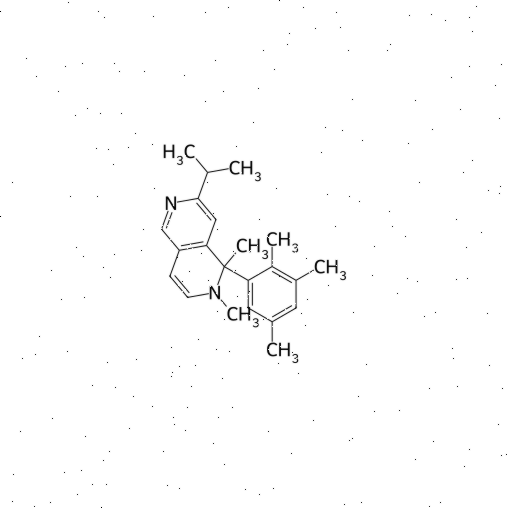 Cc1cc(C)c(C)c(C2(C)c3cc(C(C)C)ncc3C=CN2C)c1